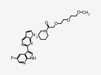 COCCOCCOCC(=O)N1CCC[C@H](n2ccc3cnc(-c4c[nH]c5ncc(F)cc45)nc32)C1